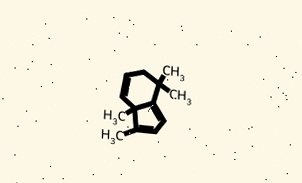 CC1=CC=C2C(C)(C)CC=CC12C